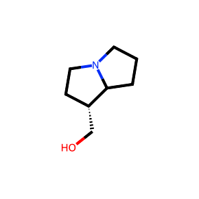 OC[C@@H]1CCN2CCCC12